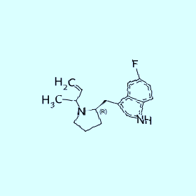 C=CC(C)N1CCC[C@@H]1Cc1c[nH]c2ccc(F)cc12